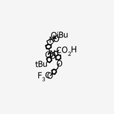 CC(C)COC(=O)N1CCc2ccc(C(=O)N(CC(C(=O)O)c3ccc(OCCc4ccc(OC(F)(F)F)cc4)cc3)Oc3ccc(C(C)(C)C)cc3)cc2C1